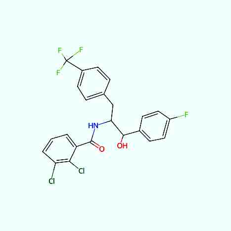 O=C(NC(Cc1ccc(C(F)(F)F)cc1)C(O)c1ccc(F)cc1)c1cccc(Cl)c1Cl